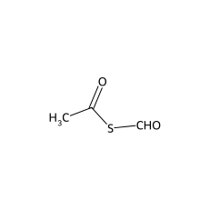 CC(=O)SC=O